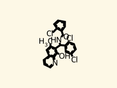 Cc1cc2cccnc2c(O)c1C(NC(=O)c1ccccc1Cl)c1cc(Cl)ccc1Cl